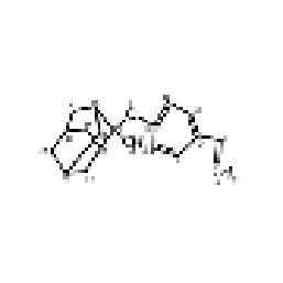 C=Cc1ccc(OC2(C)C3CC4CC(C3)CC2C4)cc1